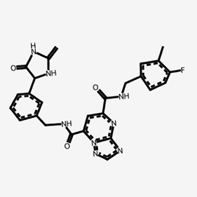 C=C1NC(=O)C(c2cccc(CNC(=O)c3cc(C(=O)NCc4ccc(F)c(C)c4)nc4ncnn34)c2)N1